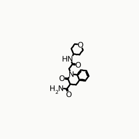 NC(=O)C1Cc2ccccc2N(CC(=O)NC2CCOCC2)C1=O